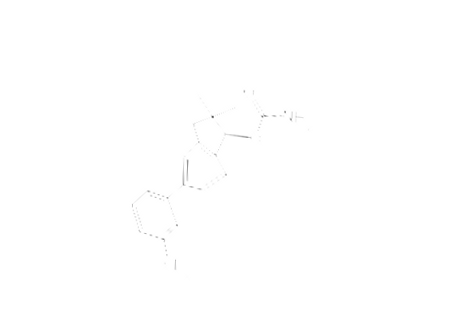 CC1(C)Cc2cc(-c3cccc(C(F)(F)F)c3)ccc2C1OC(N)=O